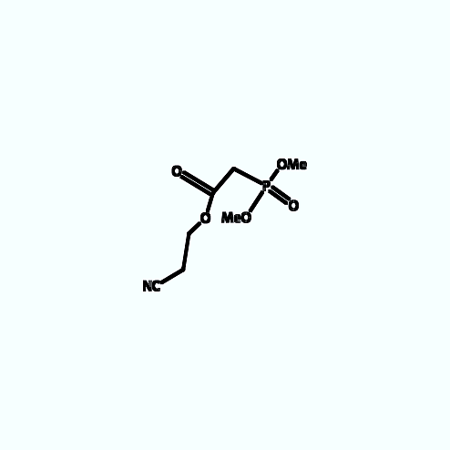 COP(=O)(CC(=O)OCCC#N)OC